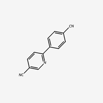 N#Cc1ccc(-c2ccc(C#N)cn2)cc1